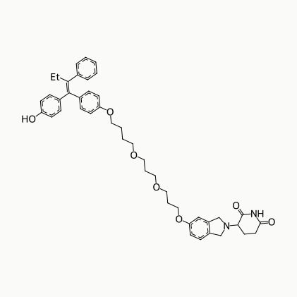 CCC(=C(c1ccc(O)cc1)c1ccc(OCCCCOCCCOCCCOc2ccc3c(c2)CN(C2CCC(=O)NC2=O)C3)cc1)c1ccccc1